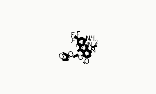 COc1cc2nc(C)nc(N)c2c(C(C)c2cc(N)cc(C(F)(F)F)c2)c1OCCO[C@H]1CCOC1